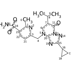 Cc1nc(Cn2cc(C(C)C)c(=O)n3nc(C4CC4)nc23)ccc1S(N)(=O)=O